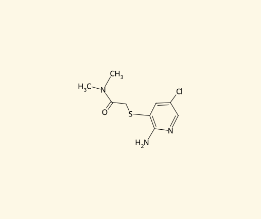 CN(C)C(=O)CSc1cc(Cl)cnc1N